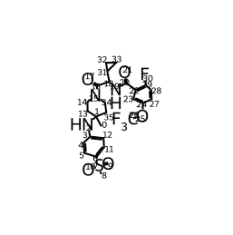 CC1(Nc2ccc(S(C)(=O)=O)cc2)CCN(C(=O)[C@H](NC(=O)c2cc(OC(F)(F)F)ccc2F)C2CC2)CC1